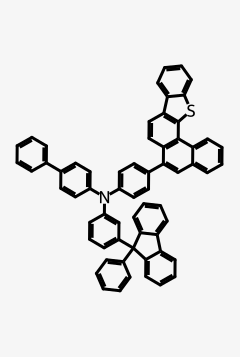 c1ccc(-c2ccc(N(c3ccc(-c4cc5ccccc5c5c4ccc4c6ccccc6sc45)cc3)c3cccc(C4(c5ccccc5)c5ccccc5-c5ccccc54)c3)cc2)cc1